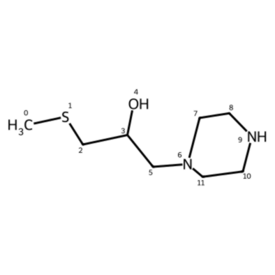 CSCC(O)CN1CCNCC1